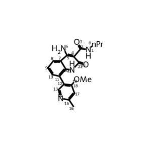 CCCNC(=O)c1c(N)c2cccc(-c3cnc(C)cc3OC)c2[nH]c1=O